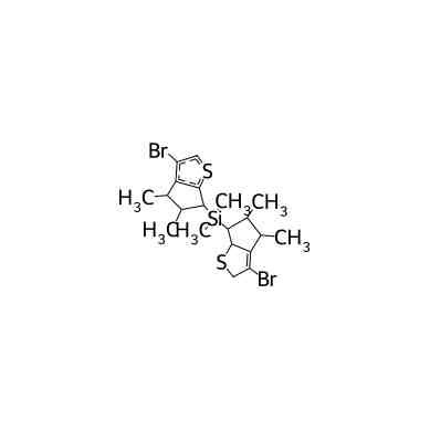 CC1C2=C(Br)CSC2C([Si](C)(C)C2c3scc(Br)c3C(C)C2C)C1C